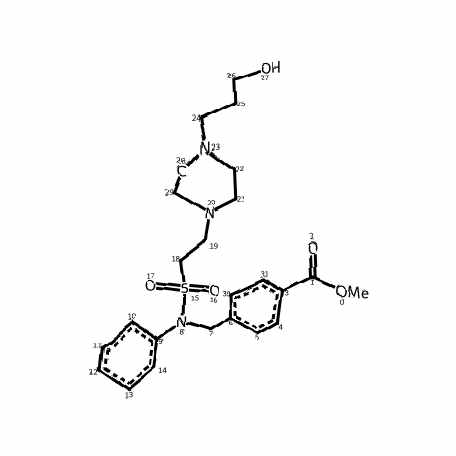 COC(=O)c1ccc(CN(c2ccccc2)S(=O)(=O)CCN2CCN(CCCO)CC2)cc1